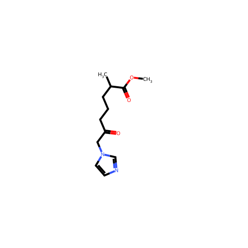 COC(=O)C(C)CCCC(=O)Cn1ccnc1